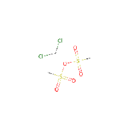 CS(=O)(=O)OS(C)(=O)=O.ClCCl